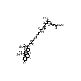 COC(=O)/C=C/C(=O)O[C@@H](C(=O)NCCC(=O)NCCSSCCNC(=O)COC(=O)[C@@]1(O[Si](C)(C)C(C)(C)C)CC[C@H]2[C@@H]3C[C@H](C)C4=CC(=O)C=C[C@]4(C)[C@H]3[C@@H](O[Si](C)(C)C(C)(C)C)C[C@@]21C)C(C)(C)CO